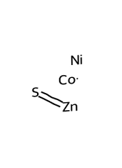 [Co].[Ni].[S]=[Zn]